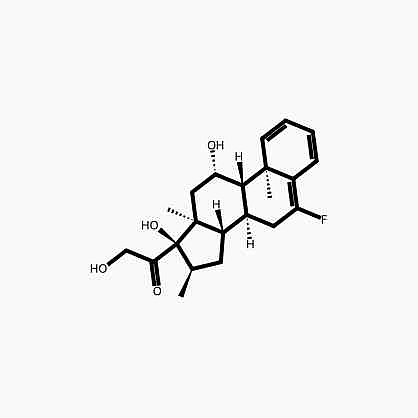 C[C@@H]1C[C@H]2[C@@H]3CC(F)=C4C=CC=C[C@]4(C)[C@H]3[C@@H](O)C[C@]2(C)[C@@]1(O)C(=O)CO